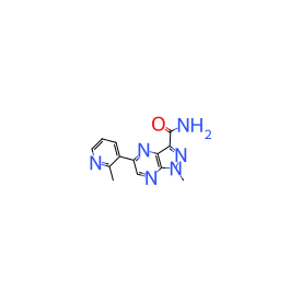 Cc1ncccc1-c1cnc2c(n1)c(C(N)=O)nn2C